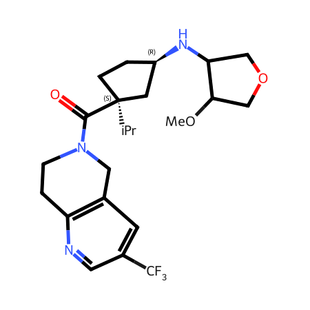 COC1COCC1N[C@@H]1CC[C@@](C(=O)N2CCc3ncc(C(F)(F)F)cc3C2)(C(C)C)C1